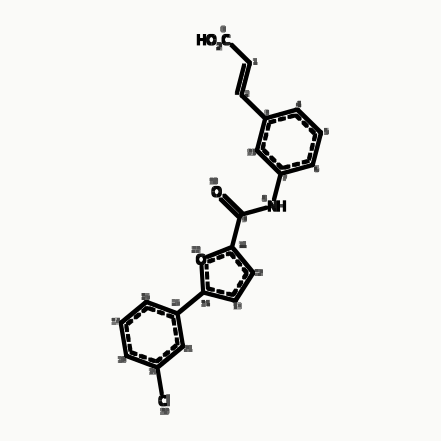 O=C(O)C=Cc1cccc(NC(=O)c2ccc(-c3cccc(Cl)c3)o2)c1